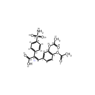 CC(=O)Oc1ccc(/C=C(/C(=O)O)c2ccc(S(N)(=O)=O)cc2)cc1OC(C)=O